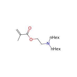 C=C(C)C(=O)OCCN(CCCCCC)CCCCCC